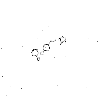 Cc1nccn1CC=Cc1ccc(Oc2ccccc2Cl)cc1